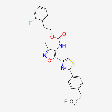 CCOC(=O)Cc1ccc(-c2nc(-c3onc(C)c3NC(=O)OCCc3ccccc3F)cs2)cc1